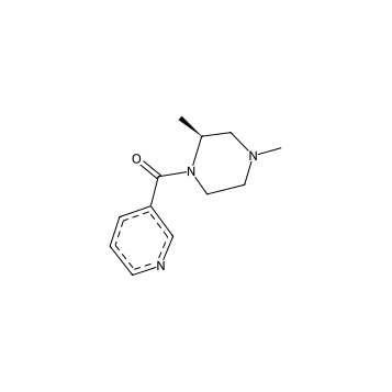 C[C@H]1CN(C)CCN1C(=O)c1cccnc1